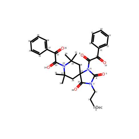 CCCCCCCCCCCCN1C(=O)N(C(=O)C(=O)c2ccccc2)C2(CC(C)(C)N(C(=O)C(=O)c3ccccc3)C(C)(C)C2)C1=O